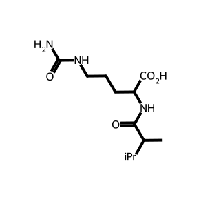 CC(C)C(C)C(=O)NC(CCCNC(N)=O)C(=O)O